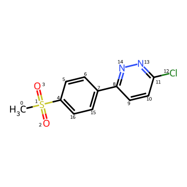 CS(=O)(=O)c1ccc(-c2ccc(Cl)nn2)cc1